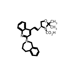 CC1(C)OC[C@H](C=Cc2cc(N3CCCc4ccccc4C3)nc3ccccc23)N1C(=O)O